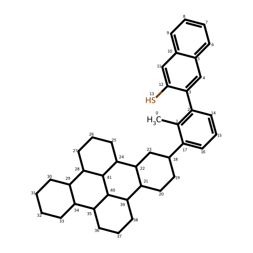 Cc1c(-c2cc3ccccc3cc2S)cccc1C1CCC2C(C1)C1CCCC3C4CCCCC4C4CCCC2C4C31